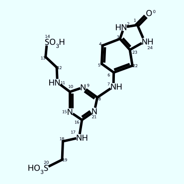 O=c1[nH]c2ccc(Nc3nc(NCCS(=O)(=O)O)nc(NCCS(=O)(=O)O)n3)cc2[nH]1